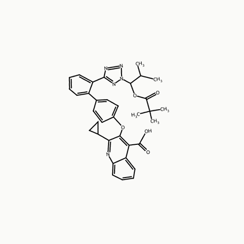 CC(C)C(OC(=O)C(C)(C)C)n1nnc(-c2ccccc2-c2ccc(Oc3c(C4CC4)nc4ccccc4c3C(=O)O)cc2)n1